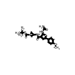 COc1ccc(-c2cc(C(=O)NC3CN(C(=O)OC(C)(C)C)C3)c(NC(N)=O)s2)cc1